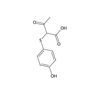 CC(=O)C(Sc1ccc(O)cc1)C(=O)O